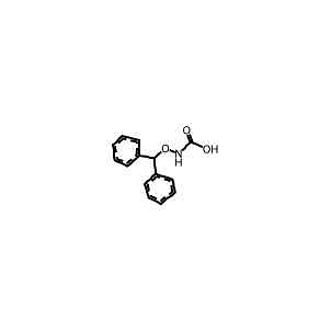 O=C(O)NOC(c1ccccc1)c1ccccc1